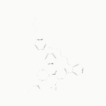 CCOC(=O)CCCOc1ccc(-c2cccc([C@H]3CCN(C(=O)OC(C)(C)C)C[C@@H]3C(=O)N(Cc3cn(CCCOC)c4ccccc34)C3CC3)c2)cc1